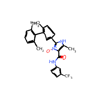 COc1ccc(-c2[nH]c(C)c(C(=O)Nc3cccc(C(F)(F)F)c3)[n+]2[O-])cc1-c1c(C)cccc1C